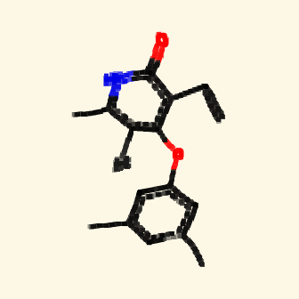 C=Cc1c(Oc2cc(C)cc(C)c2)c(CC)c(C)[nH]c1=O